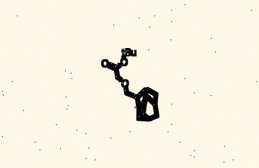 CC(C)(C)OC(=O)COCC1[C]2CC3CC(C2)CC1C3